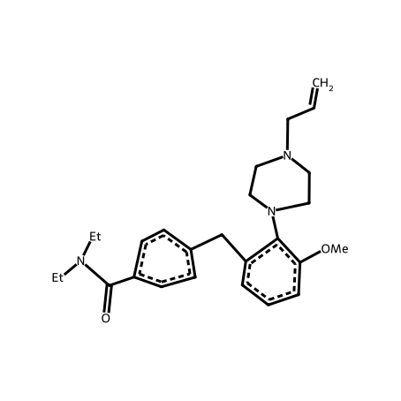 C=CCN1CCN(c2c(Cc3ccc(C(=O)N(CC)CC)cc3)cccc2OC)CC1